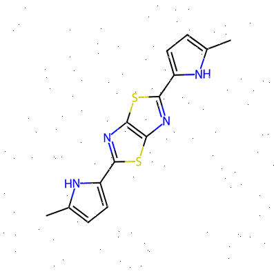 Cc1ccc(-c2nc3sc(-c4ccc(C)[nH]4)nc3s2)[nH]1